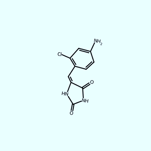 Nc1ccc(C=C2NC(=O)NC2=O)c(Cl)c1